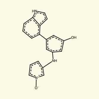 [O-][n+]1cccc(Nc2cc(O)cc(-c3cccc4[nH]ccc34)c2)c1